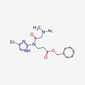 CCc1c[nH]c(N(CCC(=O)OCc2ccccc2)C(=O)CN(C)C(C)=O)n1